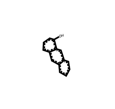 Oc1cccc2cc3ccccc3cc12